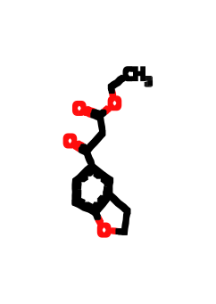 CCOC(=O)CC(=O)c1ccc2c(c1)CCO2